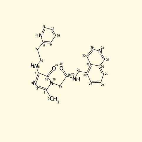 Cc1cnc(NCCc2ccccn2)c(=O)n1CC(=O)NCc1cccc2cnccc12